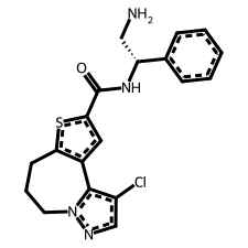 NC[C@@H](NC(=O)c1cc2c(s1)CCCn1ncc(Cl)c1-2)c1ccccc1